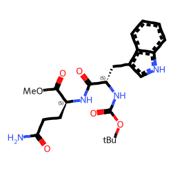 COC(=O)[C@H](CCC(N)=O)NC(=O)[C@H](Cc1c[nH]c2ccccc12)NC(=O)OC(C)(C)C